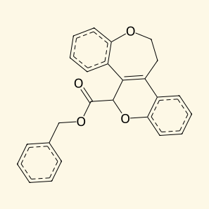 O=C(OCc1ccccc1)C1Oc2ccccc2C2=C1c1ccccc1OCC2